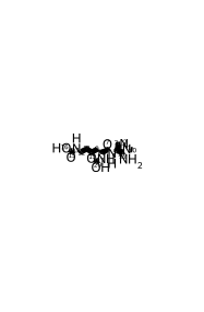 Cn1ncc(NC(=O)[C@H](CCCCNC(=O)O)NC(=O)O)c1N